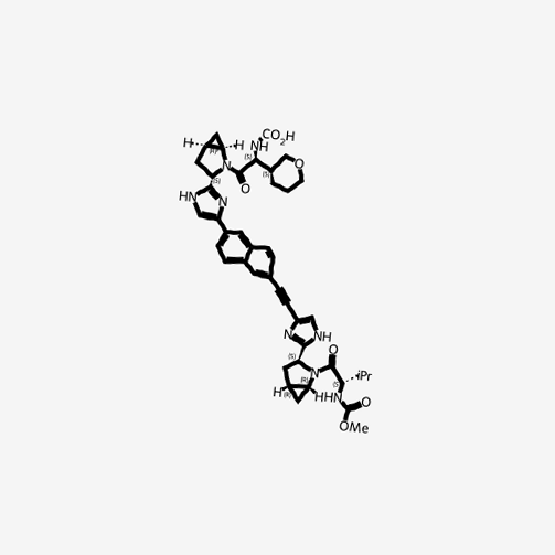 COC(=O)N[C@H](C(=O)N1[C@@H]2C[C@@H]2C[C@H]1c1nc(C#Cc2ccc3cc(-c4c[nH]c([C@@H]5C[C@H]6C[C@H]6N5C(=O)[C@@H](NC(=O)O)[C@@H]5CCCOC5)n4)ccc3c2)c[nH]1)C(C)C